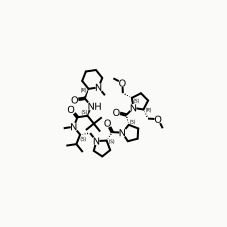 COC[C@H]1CC[C@@H](COC)N1C(=O)[C@@H]1CCCN1C(=O)[C@@H]1CCCN1C[C@H](C(C)C)N(C)C(=O)[C@@H](NC(=O)[C@H]1CCCCN1C)C(C)(C)C